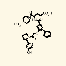 Cc1noc(C2CCCN2C(=O)COc2cc(C(=O)NC(CCC(=O)O)C(=O)N3CCN(C(=O)O)CC3)nn2-c2ccccc2)n1